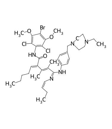 CC\C=C/N=C(Nc1ccc(CN2CCN(CC)CC2)cc1)\C(C)=C(C)\C(=C/CCCC)C(=O)Nc1c(Cl)c(OC)c(Br)c(OC)c1Cl